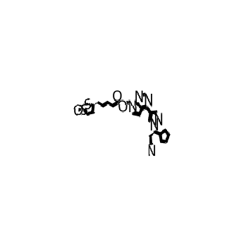 N#CC[C@H](C1CCCC1)n1cc(-c2ncnc3c2ccn3COC(=O)CCCC[C@@H]2CC[S+]([O-])S2)cn1